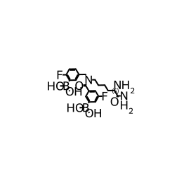 NC(=O)[C@@H](N)CCCCN(Cc1ccc(F)c(B(O)O)c1)C(=O)c1cc(F)cc(B(O)O)c1